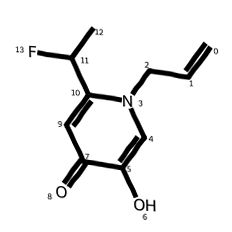 C=CCn1cc(O)c(=O)cc1C(C)F